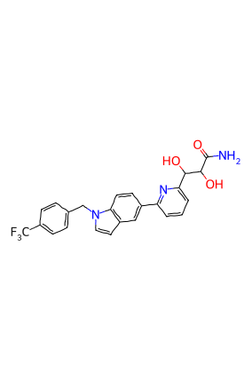 NC(=O)C(O)C(O)c1cccc(-c2ccc3c(ccn3Cc3ccc(C(F)(F)F)cc3)c2)n1